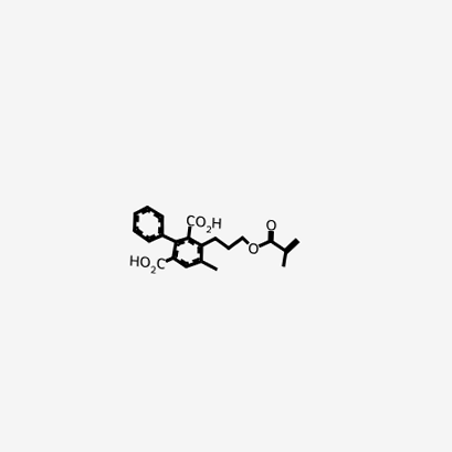 C=C(C)C(=O)OCCCc1c(C)cc(C(=O)O)c(-c2ccccc2)c1C(=O)O